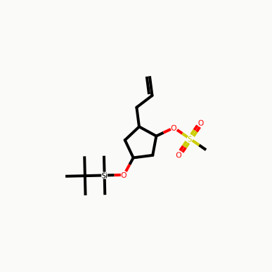 C=CCC1CC(O[Si](C)(C)C(C)(C)C)CC1OS(C)(=O)=O